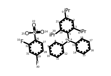 CC(C)c1cc(C(C)C)c([S+](c2ccccc2)c2ccccc2)c(C(C)C)c1.O=S(=O)([O-])c1ccc(F)cc1F